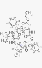 CCOC(=O)C[C@H](NC(=O)OCc1ccccc1)C(=O)N[C@H](C(=O)N[C@H](C(=O)N[C@H](/C=C/S(C)(=O)=O)CC(=O)O)C(C)C)c1ccccc1